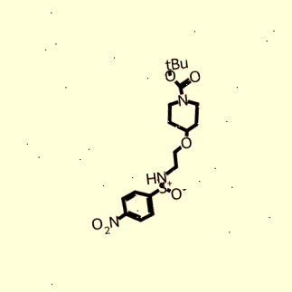 CC(C)(C)OC(=O)N1CCC(OCCN[S+]([O-])c2ccc([N+](=O)[O-])cc2)CC1